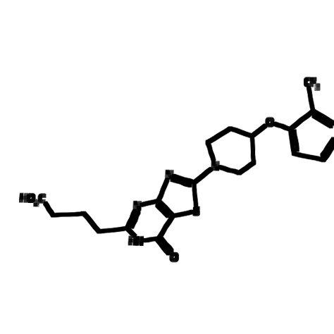 O=C(O)CCCc1nc2nc(N3CCC(Oc4ccccc4C(F)(F)F)CC3)sc2c(=O)[nH]1